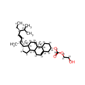 CC[C@H](/C=C/[C@@H](C)[C@H]1CCC2C3CC=C4C[C@@H](OC(=O)OCCO)CC[C@]4(C)C3CC[C@@]21C)C(C)C